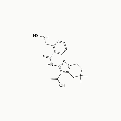 C=C(Nc1sc2c(c1C(=C)O)CC(C)(C)CC2)c1ccccc1CNS